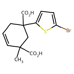 CC1(C(=O)O)C=CCC(C(=O)O)(c2ccc(Br)s2)C1